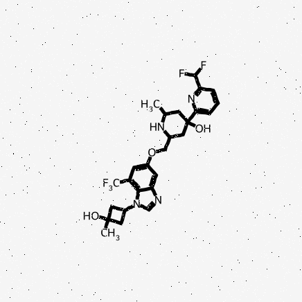 CC1CC(O)(c2cccc(C(F)F)n2)CC(COc2cc(C(F)(F)F)c3c(c2)ncn3C2CC(C)(O)C2)N1